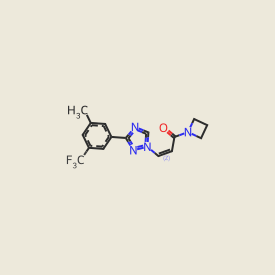 Cc1cc(-c2ncn(/C=C\C(=O)N3CCC3)n2)cc(C(F)(F)F)c1